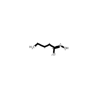 CCCC/C(Cl)=N/O